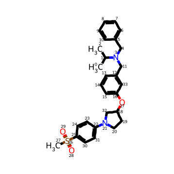 CC(C)N(Cc1ccccc1)Cc1cccc(OC2CCN(c3ccc(S(C)(=O)=O)cc3)C2)c1